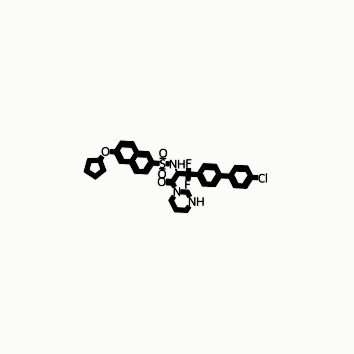 O=C([C@H](NS(=O)(=O)c1ccc2cc(OC3CCCC3)ccc2c1)C(F)(F)c1ccc(-c2ccc(Cl)cc2)cc1)N1CCCNC1